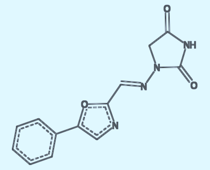 O=C1CN(/N=C/c2ncc(-c3ccccc3)o2)C(=O)N1